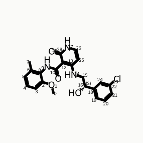 COc1cccc(C)c1NC(=O)c1c(NC[C@@H](O)c2cccc(Cl)c2)cc[nH]c1=O